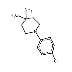 Cc1ccc(N2CCC(C)(N)CC2)cc1